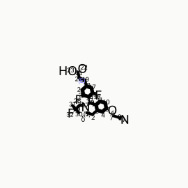 C[C@H]1Cc2cc(OCC#N)ccc2[C@H](c2c(F)cc(/C=C/C(=O)O)cc2F)N1CC(C)(C)F